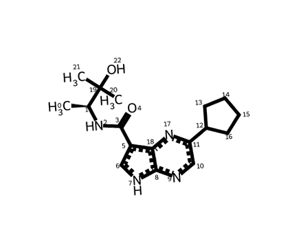 C[C@H](NC(=O)c1c[nH]c2ncc(C3CCCC3)nc12)C(C)(C)O